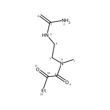 C=C(N)NCCN(C)C(=O)C(=O)CC